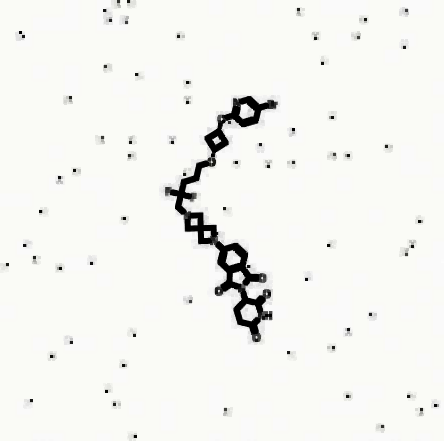 O=C1CCC(N2C(=O)c3ccc(N4CC5(CN(CC(F)(F)CCCO[C@H]6C[C@H](Oc7ccc(Br)cn7)C6)C5)C4)cc3C2=O)C(=O)N1